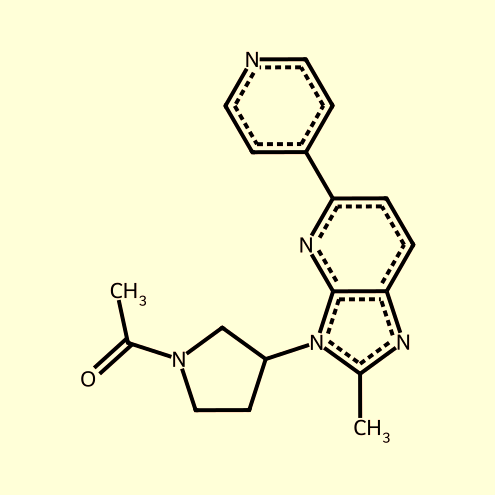 CC(=O)N1CCC(n2c(C)nc3ccc(-c4ccncc4)nc32)C1